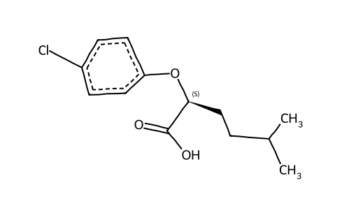 CC(C)CC[C@H](Oc1ccc(Cl)cc1)C(=O)O